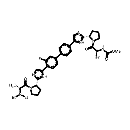 CCN(CC)[C@H](C)C(=O)N1CCC[C@H]1c1ncc(-c2ccc(-c3ccc(-c4cnc([C@@H]5CCCN5C(=O)[C@@H](NC(=O)OC)C(C)C)[nH]4)cc3)cc2F)[nH]1